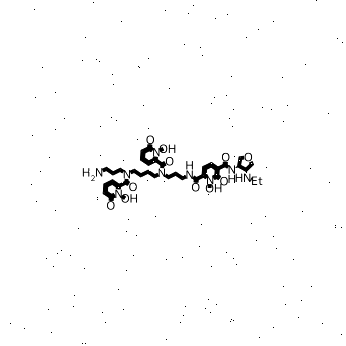 CCN[C@H]1COC[C@H]1NC(=O)c1ccc(C(=O)NCCCN(CCCCN(CCCN)C(=O)c2cccc(=O)n2O)C(=O)c2cccc(=O)n2O)n(O)c1=O